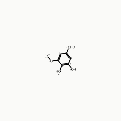 CCOc1cc(C=O)cc(O)c1O